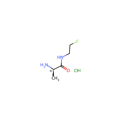 C[C@@H](N)C(=O)NCCF.Cl